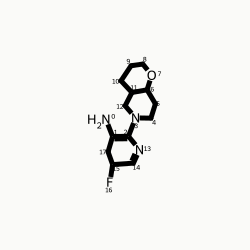 NC1=C(N2CCC3OCCCC3C2)N=CC(F)C1